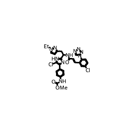 CCn1ccc(CC(NC(=O)/C=C/c2cc(Cl)ccc2-n2cnnn2)c2nc(-c3ccc(NC(=O)OC)cc3)c(Cl)[nH]2)n1